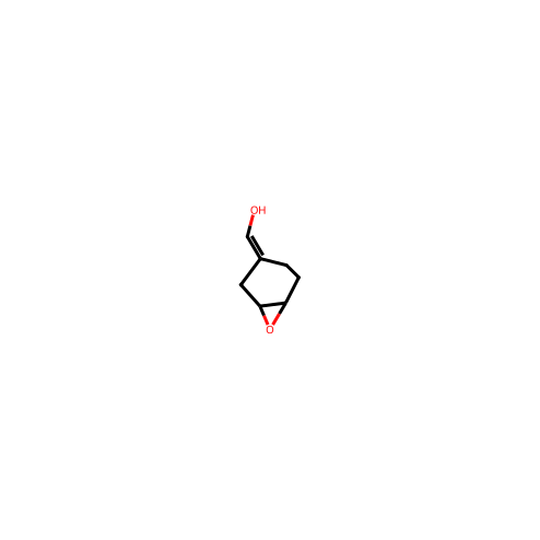 OC=C1CCC2OC2C1